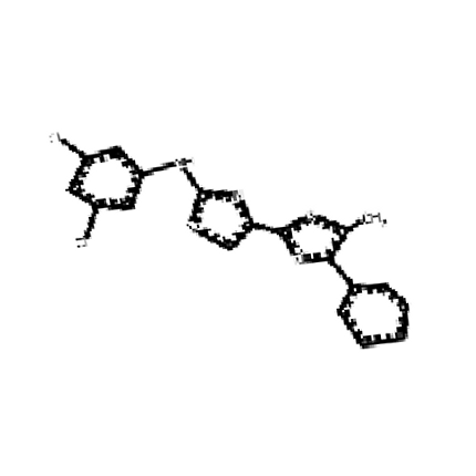 Cc1sc(-c2csc(Nc3cc(Cl)cc(Cl)c3)n2)nc1-c1ccccc1